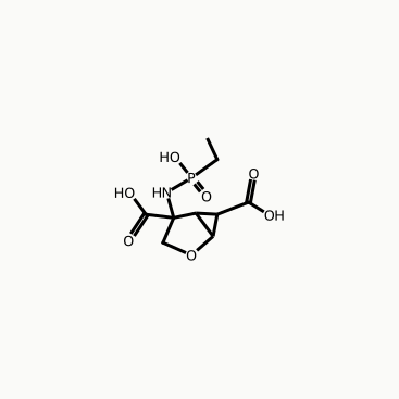 CCP(=O)(O)NC1(C(=O)O)COC2C(C(=O)O)C21